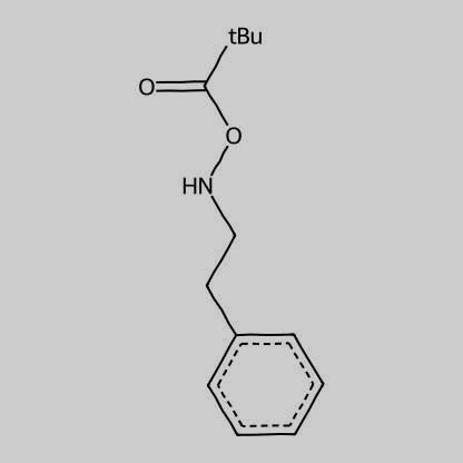 CC(C)(C)C(=O)ONCCc1ccccc1